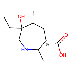 CCC1(O)CNC(C)[C@@H](C(=O)O)CC1C